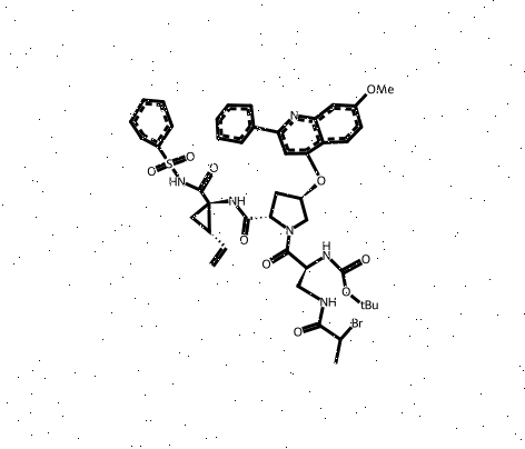 C=C[C@@H]1C[C@]1(NC(=O)[C@@H]1C[C@@H](Oc2cc(-c3ccccc3)nc3cc(OC)ccc23)CN1C(=O)[C@H](CNC(=O)C(C)Br)NC(=O)OC(C)(C)C)C(=O)NS(=O)(=O)c1ccccc1